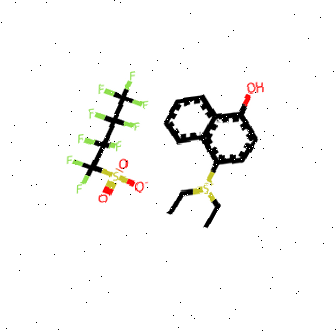 CC[S+](CC)c1ccc(O)c2ccccc12.O=S(=O)([O-])C(F)(F)C(F)(F)C(F)(F)C(F)(F)F